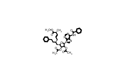 COC(=O)[C@H](C)/C=C/C[C@H](CCc1ccccc1)C[C@H]1O[C@@H](n2cnc3c(NC(=O)c4ccccc4)ncnc32)C(OC(C)=O)[C@H]1OC(C)=O